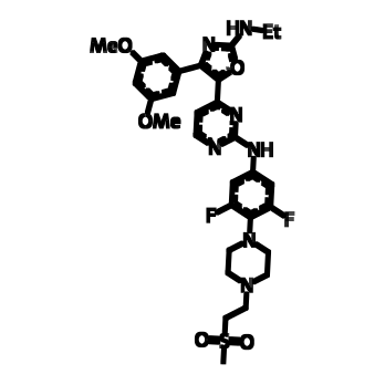 CCNc1nc(-c2cc(OC)cc(OC)c2)c(-c2ccnc(Nc3cc(F)c(N4CCN(CCS(C)(=O)=O)CC4)c(F)c3)n2)o1